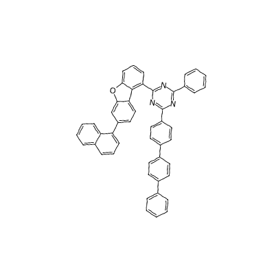 c1ccc(-c2ccc(-c3ccc(-c4nc(-c5ccccc5)nc(-c5cccc6oc7cc(-c8cccc9ccccc89)ccc7c56)n4)cc3)cc2)cc1